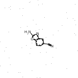 N#Cc1ccc2oc(N)nc2c1